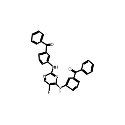 O=C(c1ccccc1)c1cccc(Nc2ncc(F)c(Nc3cccc(C(=O)c4ccccc4)c3)n2)c1